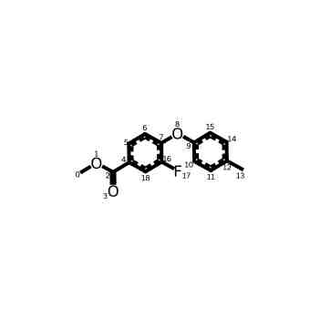 COC(=O)c1ccc(Oc2ccc(C)cc2)c(F)c1